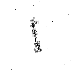 O=[PH](S)O[C@H]1[C@@H](F)[C@H](n2cnc3c(NCC#CCNc4ncnc5c4ncn5[C@@H]4OC(CO)[C@@H](O[PH](=O)S)[C@H]4F)ncnc32)O[C@@H]1CO